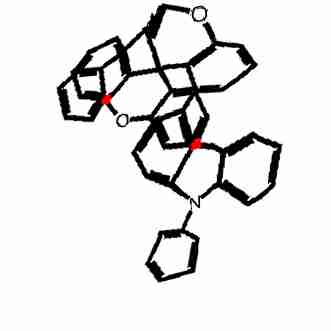 c1ccc(-c2cccc3c2C2(c4ccccc4Oc4ccccc42)c2c(cccc2-c2cccc4c2c2ccccc2n4-c2ccccc2)O3)cc1